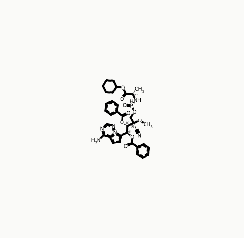 CO[C@](C#N)(CO[PH](=O)N[C@@H](C)C(=O)OC1CCCCC1)[C@@H](OC(=O)c1ccccc1)[C@@H](OC(=O)c1ccccc1)c1ccc2c(N)ncnn12